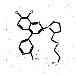 COc1cccc(-c2cc(N3CCC[C@H]3COCCC(=O)O)nc3c(Cl)c(Cl)ccc23)c1